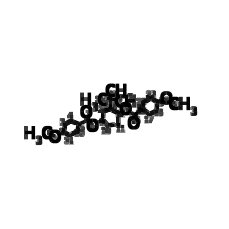 COc1ccc(C(=O)Oc2ccc(OC(=O)c3ccc(OC)cc3)c(C(C)(C)C)c2)cc1